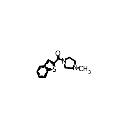 CN1CCN(C(=O)c2cc3ccccc3s2)CC1